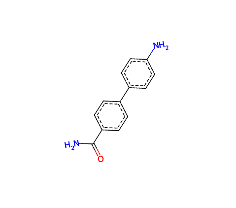 NC(=O)c1ccc(-c2ccc(N)cc2)cc1